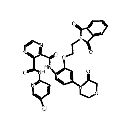 O=C(Nc1ccc(Cl)cn1)c1nccnc1C(=O)Nc1ccc(N2CCOCC2=O)cc1OCCN1C(=O)c2ccccc2C1=O